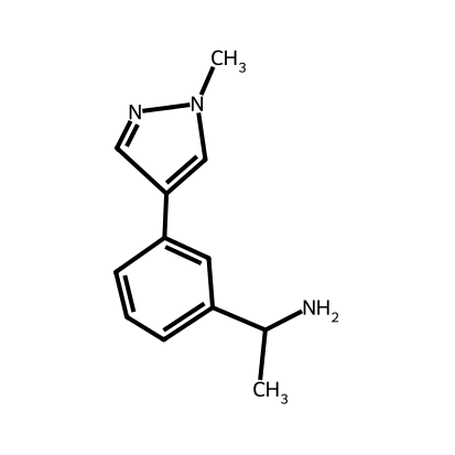 CC(N)c1cccc(-c2cnn(C)c2)c1